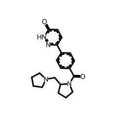 O=C(c1ccc(-c2ccc(=O)[nH]n2)cc1)N1CCCC1CN1CCCC1